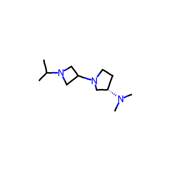 CC(C)N1CC(N2CC[C@H](N(C)C)C2)C1